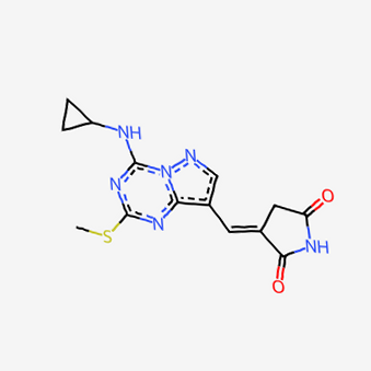 CSc1nc(NC2CC2)n2ncc(C=C3CC(=O)NC3=O)c2n1